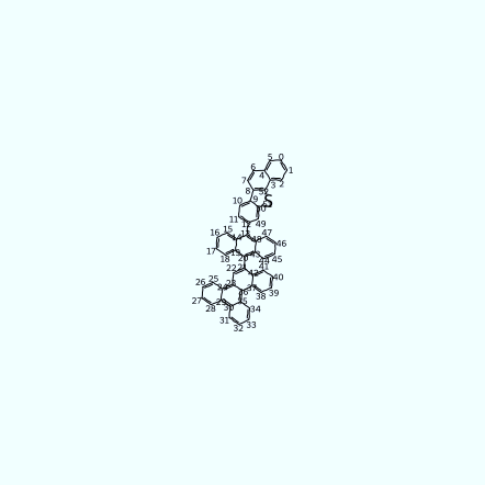 c1ccc2c(c1)ccc1c3ccc(-c4c5ccccc5c(-c5cc6c7ccccc7c7ccccc7c6c6ccccc56)c5ccccc45)cc3sc21